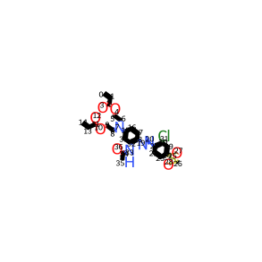 C=CC(=O)OCCN(CCOC(=O)C=C)c1ccc(N=Nc2ccc(S(C)(=O)=O)cc2Cl)c(NC(C)=O)c1